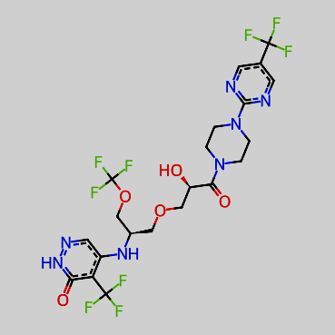 O=C([C@H](O)COC[C@H](COC(F)(F)F)Nc1cn[nH]c(=O)c1C(F)(F)F)N1CCN(c2ncc(C(F)(F)F)cn2)CC1